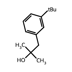 CC(C)(O)Cc1cccc(C(C)(C)C)c1